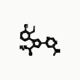 CCc1c(Cl)cccc1-n1cc(-c2cc(NC)ncn2)cc1C(N)=O